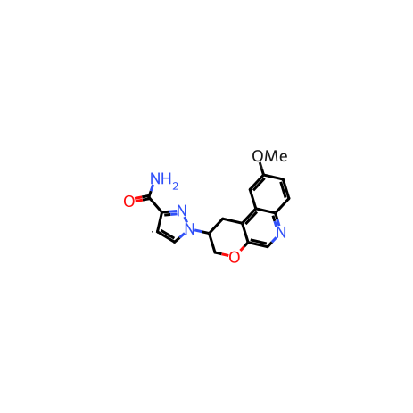 COc1ccc2ncc3c(c2c1)CC(n1c[c]c(C(N)=O)n1)CO3